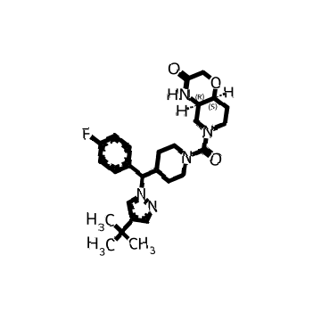 CC(C)(C)c1cnn(C(c2ccc(F)cc2)C2CCN(C(=O)N3CC[C@@H]4OCC(=O)N[C@@H]4C3)CC2)c1